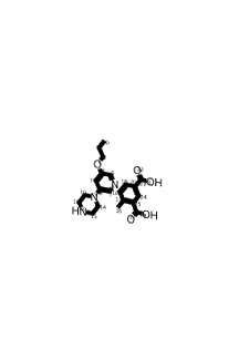 CCCOc1cncc(N2CCNCC2)c1.Cc1ccc(C(=O)O)cc1C(=O)O